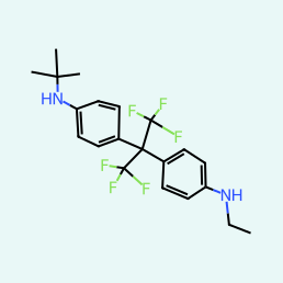 CCNc1ccc(C(c2ccc(NC(C)(C)C)cc2)(C(F)(F)F)C(F)(F)F)cc1